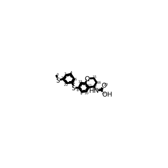 CSc1cccc(Sc2ccc3c(c2)OCCC3NC(=O)O)c1